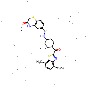 COc1ccc(C)c2sc(C(=O)C3CCC(NCc4ccc5c(c4)NC(=O)CS5)CC3)nc12